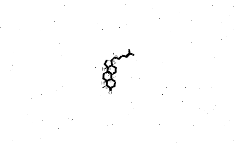 CC(C)=CCC[C@@H](C)[C@H]1CC[C@H]2C3=C(CC[C@]12C)[C@@]1(C)CCC(=O)[C@@H](C)[C@@H]1CC3